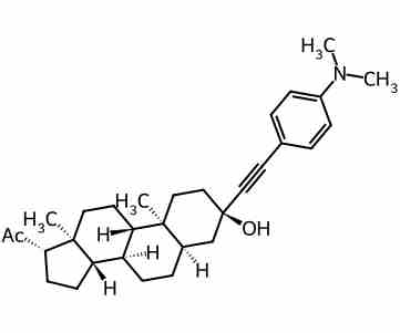 CC(=O)[C@H]1CC[C@H]2[C@@H]3CC[C@@H]4C[C@@](O)(C#Cc5ccc(N(C)C)cc5)CC[C@]4(C)[C@H]3CC[C@]12C